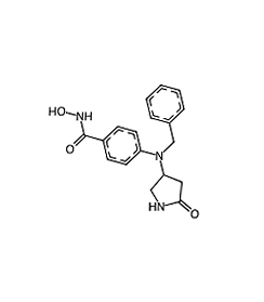 O=C1CC(N(Cc2ccccc2)c2ccc(C(=O)NO)cc2)CN1